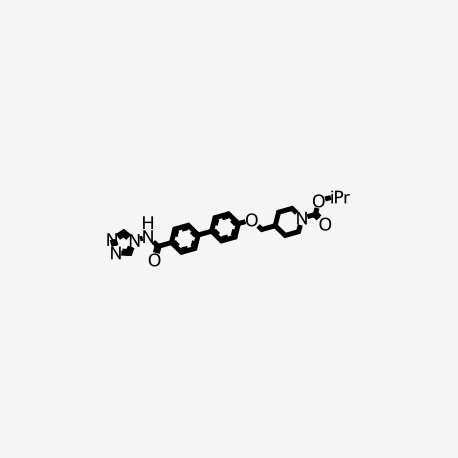 CC(C)OC(=O)N1CCC(COc2ccc(-c3ccc(C(=O)Nn4cnnc4)cc3)cc2)CC1